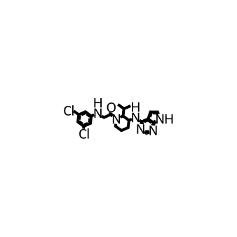 CC(C)C1C(Nc2ncnc3[nH]ccc23)CCCN1C(=O)CNc1cc(Cl)cc(Cl)c1